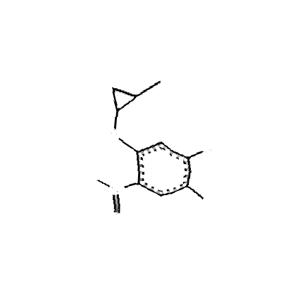 Cc1cc([N+](=O)[O-])c(OC2CC2C)cc1Br